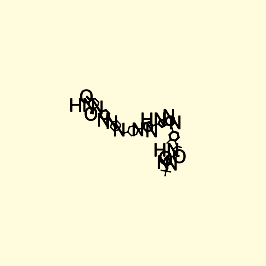 Cc1cc(-c2ncnc3[nH]c(-c4ccc(N5CCC(CN6CCN(c7ccc(N8CCC(=O)NC8=O)cn7)CC6)CC5)cn4)cc23)ccc1C(C)NC(=O)c1nc(C(C)(C)C)no1